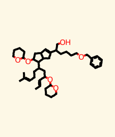 CC=CC(CC(CCC=C(C)C)C1C(OC2CCCCO2)CC2C=C(C(CO)CCCCOCc3ccccc3)CC21)OC1CCCCO1